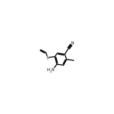 C=CSc1cc(C#N)c(C)cc1N